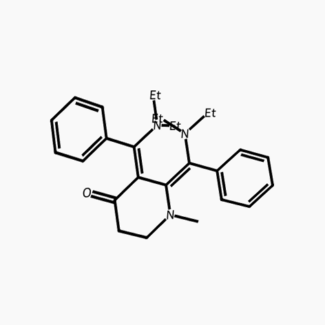 CCN(CC)C(=C1C(=O)CCN(C)C1=C(c1ccccc1)N(CC)CC)c1ccccc1